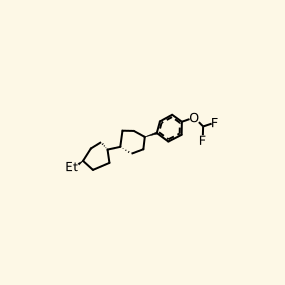 CC[C@H]1CC[C@H]([C@H]2CC[C@H](c3ccc(OC(F)F)cc3)CC2)CC1